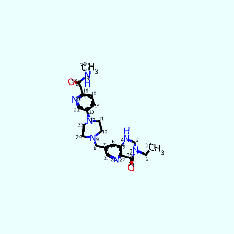 CCN1CNc2cc(CN3CCN(c4ccc(C(=O)NC)nc4)CC3)cnc2C1=O